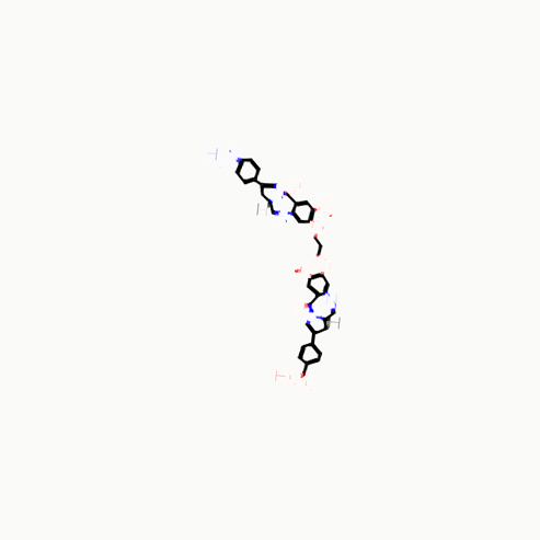 COc1cc2c(cc1OCCCOc1cc3c(cc1OC)C(=O)N1C=C(c4ccc(C(=O)O)cc4)C[C@H]1C=N3)N=C[C@@H]1CC(c3ccc(N)cc3)=CN1C2=O